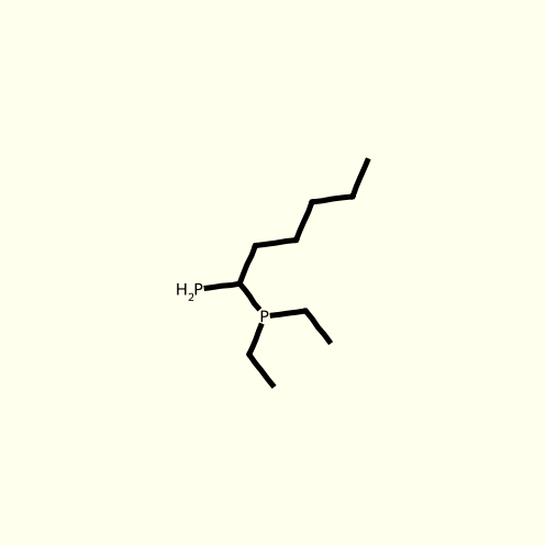 CCCCCC(P)P(CC)CC